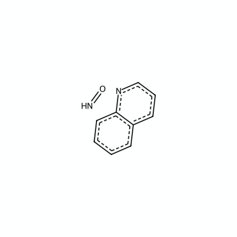 N=O.c1ccc2ncccc2c1